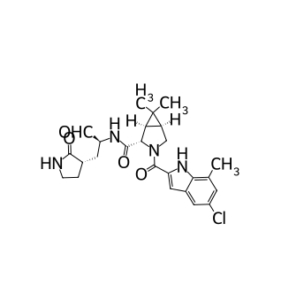 Cc1cc(Cl)cc2cc(C(=O)N3C[C@H]4[C@@H]([C@H]3C(=O)N[C@H](C=O)C[C@@H]3CCNC3=O)C4(C)C)[nH]c12